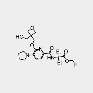 CCC(CC)(NC(=O)c1ccc(N2CCCC2)c(OCC2(CO)COC2)n1)C(=O)OCF